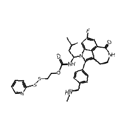 CNCc1ccc(-c2c3c4c(cc(F)cc4n2C(CC(C)C)NC(=O)OCCSSc2ccccn2)C(=O)NCC3)cc1